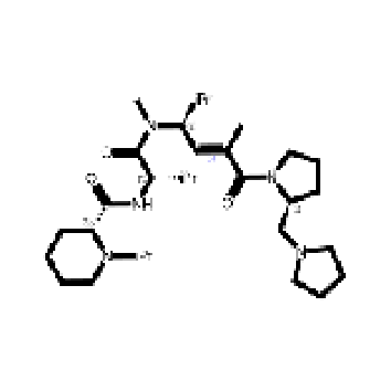 C/C(=C\[C@H](C(C)C)N(C)C(=O)[C@@H](NC(=O)[C@H]1CCCCN1C(C)C)C(C)C)C(=O)N1CCC[C@H]1CN1CCCC1